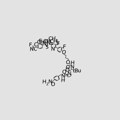 CN(C(=S)N(c1cnc(-c2ccc(OCCCCOCC(=O)NC(C(=O)N3CCC[C@H]3C(=O)NCc3ccc(C(N)=O)cc3)C(C)(C)C)c(F)c2)c(F)c1)C(C)(C)C=O)c1ccc(C#N)c(C(F)(F)F)c1F